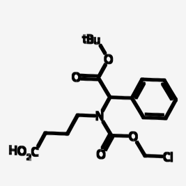 CC(C)(C)OC(=O)C(c1ccccc1)N(CCCC(=O)O)C(=O)OCCl